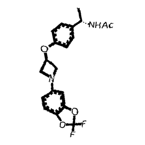 CC(=O)N[C@@H](C)c1ccc(OC2CN(c3ccc4c(c3)OC(F)(F)O4)C2)cc1